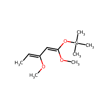 C/C=C(/C=C(\OC)O[Si](C)(C)C)OC